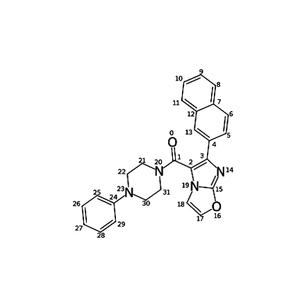 O=C(c1c(-c2ccc3ccccc3c2)nc2occn12)N1CCN(c2ccccc2)CC1